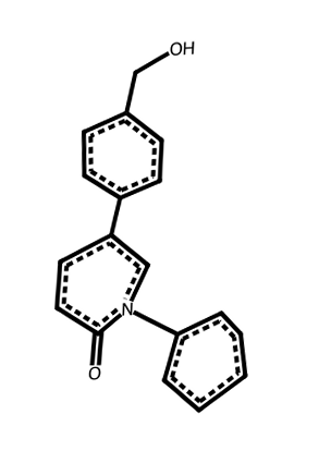 O=c1ccc(-c2ccc(CO)cc2)cn1-c1ccccc1